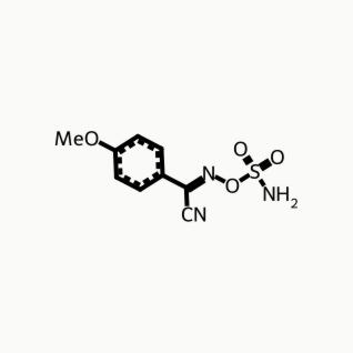 COc1ccc(C(C#N)=NOS(N)(=O)=O)cc1